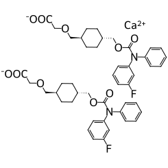 O=C([O-])COC[C@H]1CC[C@H](COC(=O)N(c2ccccc2)c2cccc(F)c2)CC1.O=C([O-])COC[C@H]1CC[C@H](COC(=O)N(c2ccccc2)c2cccc(F)c2)CC1.[Ca+2]